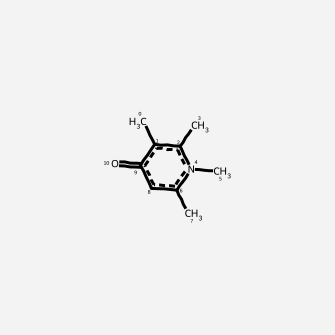 Cc1c(C)n(C)c(C)cc1=O